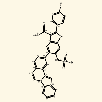 CCS(=O)(=O)Nc1cc2oc(-c3ccc(F)cc3)c(C(=O)NC)c2cc1-c1ccc2ncn3c4ccccc4cc3c2c1